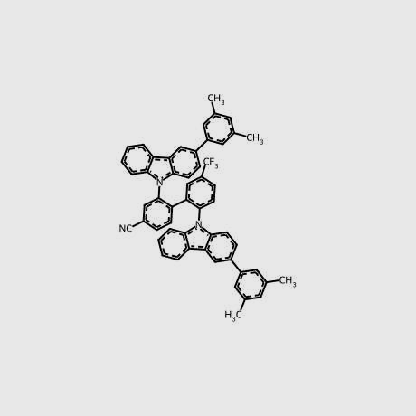 Cc1cc(C)cc(-c2ccc3c(c2)c2ccccc2n3-c2ccc(C(F)(F)F)cc2-c2ccc(C#N)cc2-n2c3ccccc3c3cc(-c4cc(C)cc(C)c4)ccc32)c1